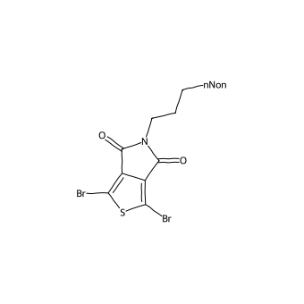 CCCCCCCCCCCCN1C(=O)c2c(Br)sc(Br)c2C1=O